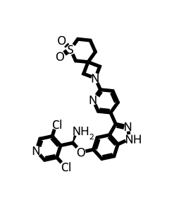 N[C@@H](Oc1ccc2[nH]nc(-c3ccc(N4CC5(CCCS(=O)(=O)C5)C4)nc3)c2c1)c1c(Cl)cncc1Cl